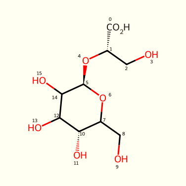 O=C(O)[C@H](CO)O[C@H]1OC(CO)[C@H](O)C(O)C1O